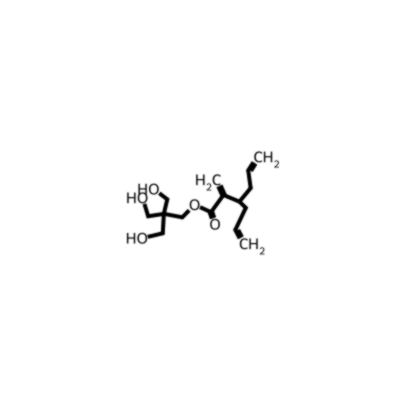 C=CCC(CC=C)C(=C)C(=O)OCC(CO)(CO)CO